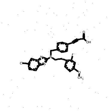 COc1ccc(CCN(Cc2ccc(C#CC(=O)O)cc2)c2nc3cc(Cl)ccc3s2)c(F)c1